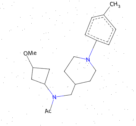 COC1CC(N(CC2CCN(c3ccc(C)cc3)CC2)C(C)=O)C1